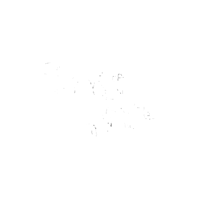 CCCC(NC(=O)[C@@H]1C[C@@H](OC(C)(C)C)CN1C(=O)[C@@H](NC(=O)NC1(C)CCCCC1)C(C)(C)C)C(=O)C(=O)NCC(=O)OC(C(=O)C(C)C)c1ccccc1